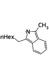 CCCCCCCC1=c2ccccc2=C(C)[N]1